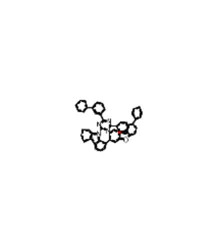 c1ccc(-c2cccc(-c3nc(-c4ccccc4)nc(-n4c5ccccc5c5cccc(-c6ccc7c(c6)oc6ccc(-c8ccccc8)cc67)c54)n3)c2)cc1